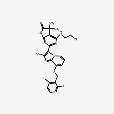 Cc1nc2c(OCc3c(F)cccc3F)cccn2c1-c1nc(NCCC(F)(F)F)c2c(n1)NC(=O)C2(C)C